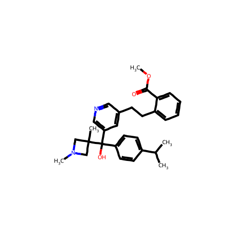 COC(=O)c1ccccc1CCc1cncc(C(O)(c2ccc(C(C)C)cc2)C2(C)CN(C)C2)c1